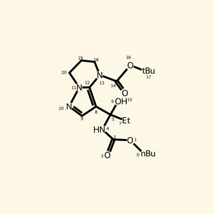 CCCCOC(=O)NC(O)(CC)c1cnn2c1N(C(=O)OC(C)(C)C)CCC2